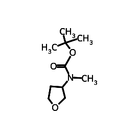 CN(C(=O)OC(C)(C)C)C1CCOC1